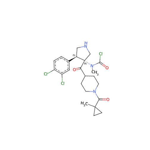 CN(C(=O)Cl)[C@@]1(C(=O)C2CCN(C(=O)C3(C)CC3)CC2)CNC[C@@H]1c1ccc(Cl)c(Cl)c1